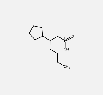 CCCCC(C[PH](=O)O)C1CCCC1